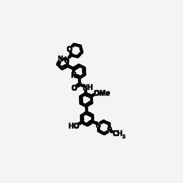 COc1cc(-c2cc(O)cc(N3CCN(C)CC3)c2)ccc1NC(=O)c1cccc(-c2ccnn2C2CCCCO2)n1